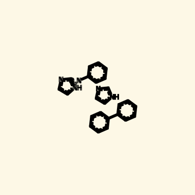 O=[N+]([O-])c1ccccc1.c1c[nH]cn1.c1c[nH]cn1.c1ccc(-c2ccccc2)cc1